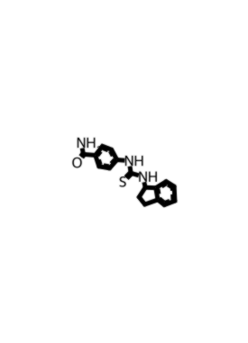 NC(=O)c1ccc(NC(=S)NC2CCc3ccccc32)cc1